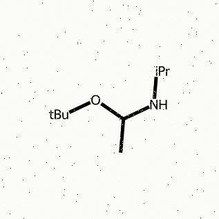 CC(C)NC(C)OC(C)(C)C